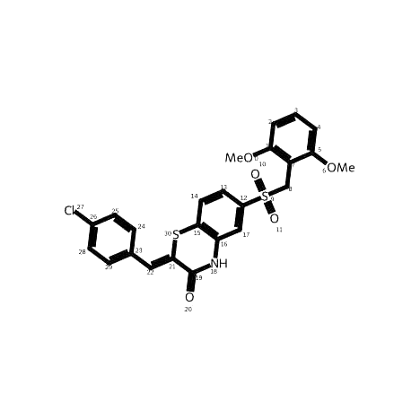 COc1cccc(OC)c1CS(=O)(=O)c1ccc2c(c1)NC(=O)C(=Cc1ccc(Cl)cc1)S2